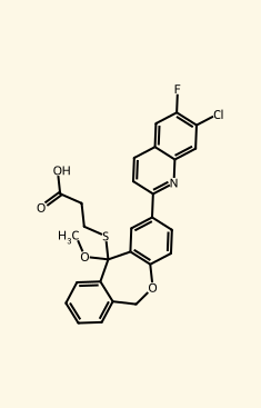 COC1(SCCC(=O)O)c2ccccc2COc2ccc(-c3ccc4cc(F)c(Cl)cc4n3)cc21